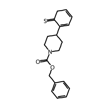 O=C(OCc1ccccc1)N1CCC(C2=CC=CCC2=S)CC1